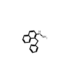 NNc1ccc2ccccc2c1Cc1ccccc1